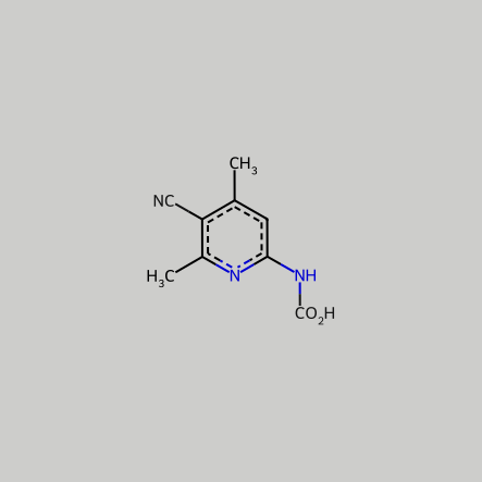 Cc1cc(NC(=O)O)nc(C)c1C#N